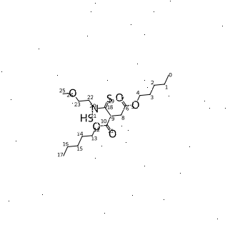 CCCCCOC(=O)CC(C(=O)OCCCCC)C(=S)N(S)CCOC